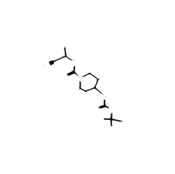 C#CC(C)NC(=O)N1CCC(NC(=O)OC(C)(C)C)CC1